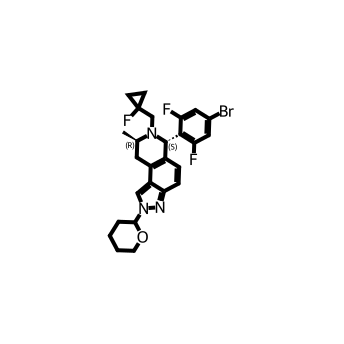 C[C@@H]1Cc2c(ccc3nn(C4CCCCO4)cc23)[C@@H](c2c(F)cc(Br)cc2F)N1CC1(F)CC1